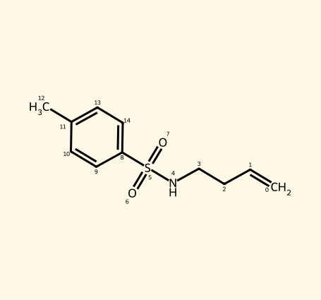 C=CCCNS(=O)(=O)c1ccc(C)cc1